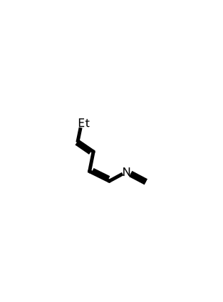 C=N/C=C\C=C\CC